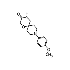 COc1ccc(N2CCC3(CC2)CNC(=O)CO3)cc1